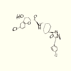 O=C(NC[C@H]1CC[C@H](c2nnc(-c3ccc(Cl)cc3)o2)CC1)[C@H]1C[C@@H](O)c2cc(Cl)ccc2O1